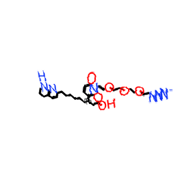 [N-]=[N+]=NCCOCCOCCOCCn1cc([C@H](CCCCCCc2ccc3c(n2)NCCC3)CC(=O)O)ccc1=O